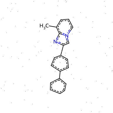 Cc1cccn2cc(-c3ccc(-c4ccccc4)cc3)nc12